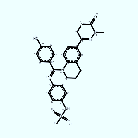 CN1N=C(c2ccc3c(c2)CCCN3/C(=N\c2ccc(NS(C)(=O)=O)cc2)c2ccc(C#N)cc2)CSC1=O